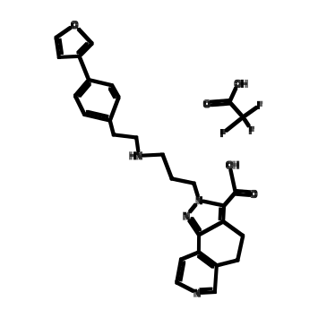 O=C(O)C(F)(F)F.O=C(O)c1c2c(nn1CCCNCCc1ccc(-c3ccoc3)cc1)-c1ccncc1CC2